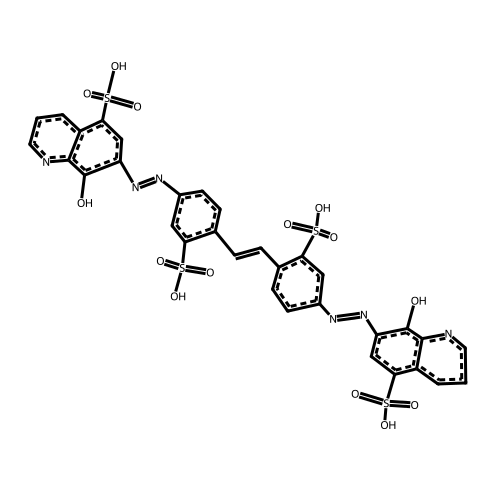 O=S(=O)(O)c1cc(/N=N/c2cc(S(=O)(=O)O)c3cccnc3c2O)ccc1/C=C/c1ccc(/N=N/c2cc(S(=O)(=O)O)c3cccnc3c2O)cc1S(=O)(=O)O